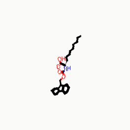 CCCCCCCCC[C@H](NC(=O)OCC1c2ccccc2-c2ccccc21)C(=O)O